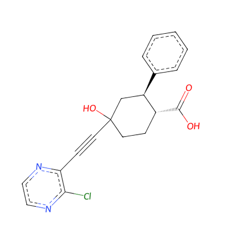 O=C(O)[C@@H]1CCC(O)(C#Cc2nccnc2Cl)C[C@H]1c1ccccc1